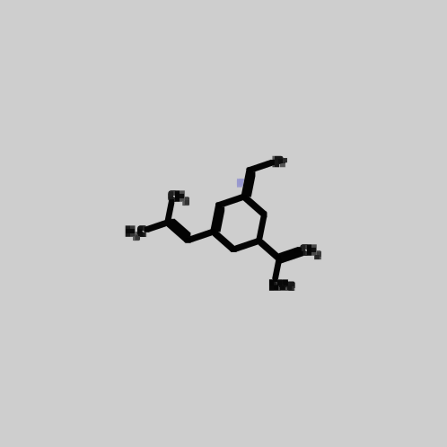 C=C(NC)C1CC(C=C(C)C)=C/C(=C/C(C)C)C1